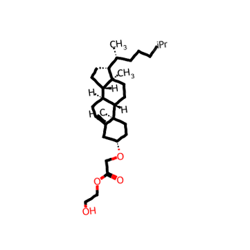 CC(C)CCC[C@@H](C)[C@H]1CC[C@H]2[C@@H]3CC=C4C[C@@H](OCC(=O)OCCO)CC[C@]4(C)[C@H]3CC[C@]12C